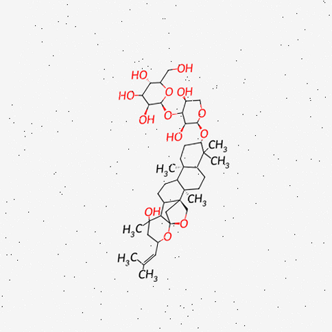 CC(C)=CC1CC(C)(O)C2C3CCC4[C@@]5(C)CC[C@H](O[C@@H]6OC[C@H](O)C(O[C@@H]7OC(CO)[C@@H](O)C(O)[C@@H]7O)[C@@H]6O)C(C)(C)C5CC[C@@]4(C)[C@@]34CO[C@@]2(C4)O1